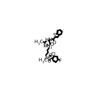 CC(C)C[C@H](NC(=O)c1cc2ccccc2s1)C(=O)NCCCCN(C)S(=O)(=O)c1ccc(F)cc1Cl